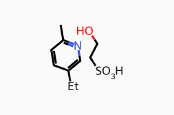 CCc1ccc(C)nc1.O=S(=O)(O)CCO